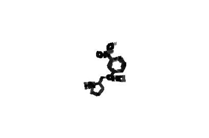 Cl.O=[N+]([O-])c1cccc(OCC2CCCN2)c1